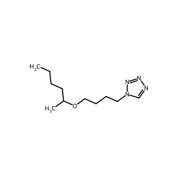 [CH2]CCCC(C)OCCCCn1cnnn1